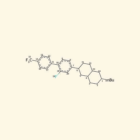 CCCCC1CCC2CC(c3ccc(-c4ccc(C(F)(F)F)cc4)c(F)c3)CCC2C1